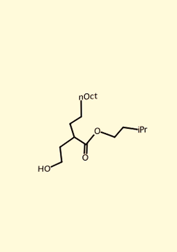 CCCCCCCCCCC(CCO)C(=O)OCCC(C)C